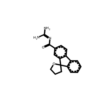 NC(N)=NC(=O)c1ccc2c(c1)C1(CCCO1)c1ccccc1-2